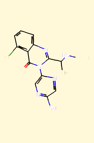 CC(NC(=O)O)c1nc2cccc(Cl)c2c(=O)n1-c1cnc(N)cn1